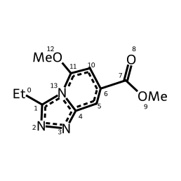 CCc1nnc2cc(C(=O)OC)cc(OC)n12